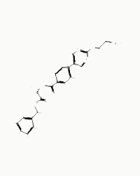 CCCCCCCCCCCCSc1ncc(-c2ccc(C(=O)O[C@@H](C)C(=O)OCc3ccccc3)cc2)cn1